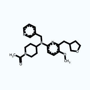 COc1ccc(N(Cc2cccnc2)C2CCN(C(C)=O)CC2)nc1CC1CCOC1